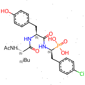 CC[C@H](C)[C@H](NC(C)=O)C(=O)N[C@@H](Cc1ccc(O)cc1)C(=O)N[C@H](Cc1ccc(Cl)cc1)P(=O)(O)O